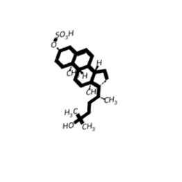 C[C@H](CCC(C)(C)O)[C@H]1CC[C@H]2C3CC=C4C[C@@H](OS(=O)(=O)O)CC[C@]4(C)[C@H]3CC[C@]12C